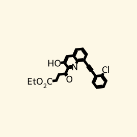 CCOC(=O)CCC(=O)c1nc2c(C#Cc3ccccc3Cl)cccc2cc1O